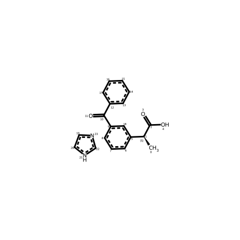 C[C@H](C(=O)O)c1cccc(C(=O)c2ccccc2)c1.c1c[nH]cn1